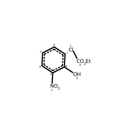 CCOC(=O)Cl.O=[N+]([O-])c1ccccc1O